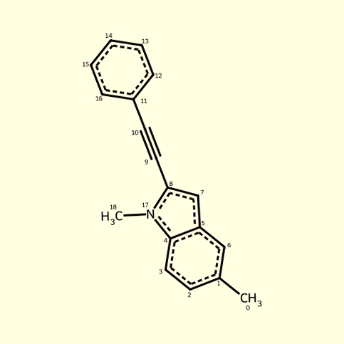 Cc1ccc2c(c1)cc(C#Cc1ccccc1)n2C